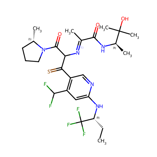 CC[C@@H](Nc1cc(C(F)F)c(C(=S)C(/N=C(\C)C(=O)N[C@H](C)C(C)(C)O)C(=O)N2CCC[C@@H]2C)cn1)C(F)(F)F